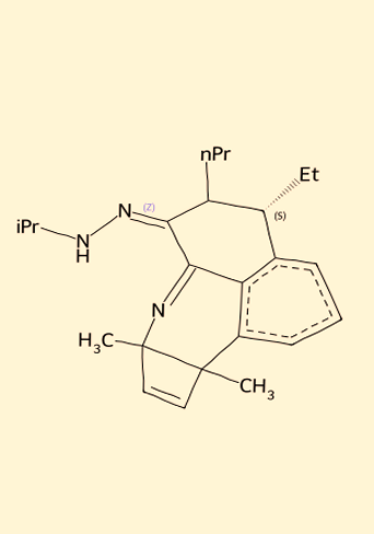 CCCC1/C(=N/NC(C)C)C2=NC3(C)C=CC3(C)c3cccc(c32)[C@H]1CC